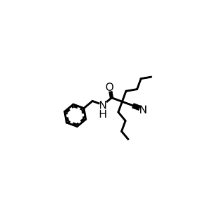 CCCCC(C#N)(CCCC)C(=O)NCc1ccccc1